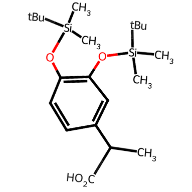 CC(C(=O)O)c1ccc(O[Si](C)(C)C(C)(C)C)c(O[Si](C)(C)C(C)(C)C)c1